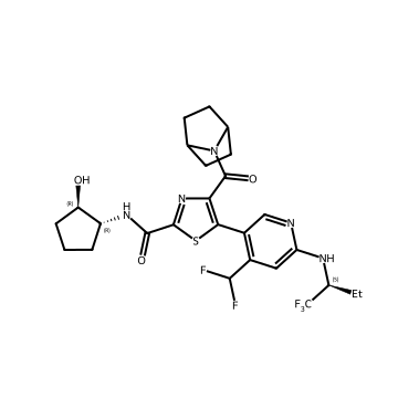 CC[C@H](Nc1cc(C(F)F)c(-c2sc(C(=O)N[C@@H]3CCC[C@H]3O)nc2C(=O)N2C3CCC2CC3)cn1)C(F)(F)F